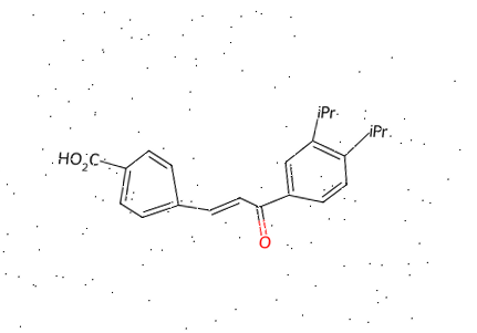 CC(C)c1ccc(C(=O)/C=C/c2ccc(C(=O)O)cc2)cc1C(C)C